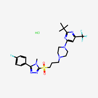 Cl.Cn1c(-c2ccc(F)cc2)nnc1S(=O)(=O)CCCN1CCN(c2cc(C(F)(F)F)nc(C(C)(C)C)n2)CC1